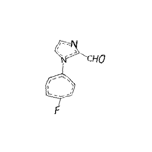 O=Cc1nccn1-c1ccc(F)cc1